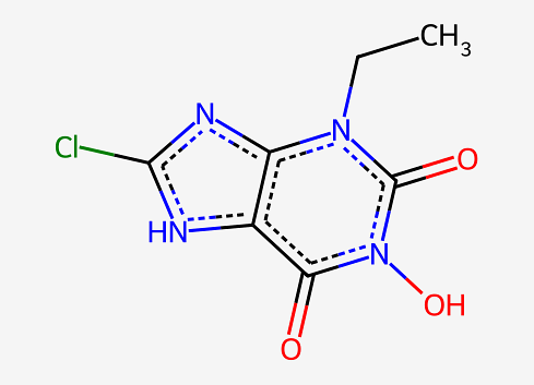 CCn1c(=O)n(O)c(=O)c2[nH]c(Cl)nc21